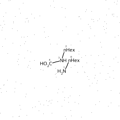 CCCCCCN.CCCCCCNC(=O)O